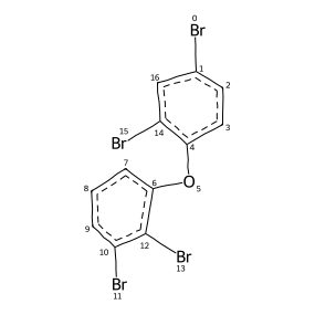 Brc1ccc(Oc2cccc(Br)c2Br)c(Br)c1